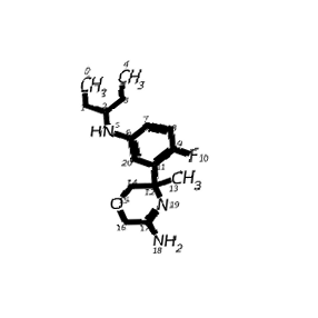 CCC(CC)Nc1ccc(F)c(C2(C)COCC(N)=N2)c1